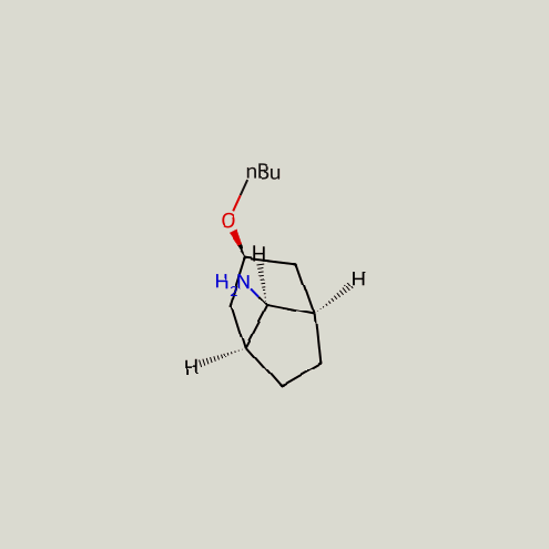 CCCCO[C@H]1C[C@H]2CC[C@@H](C1)[C@H]2N